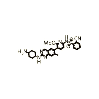 COc1nc(NS(=O)(=O)c2ccccc2C#N)ccc1-c1cc2cnc(N[C@H]3CC[C@H](N)CC3)nc2cc1C